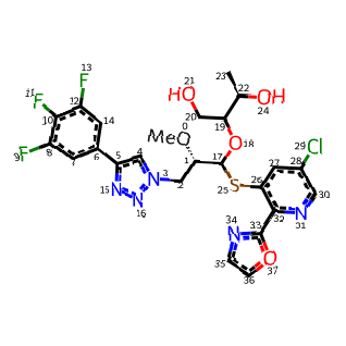 CO[C@@H](Cn1cc(-c2cc(F)c(F)c(F)c2)nn1)C(OC(CO)[C@@H](C)O)Sc1cc(Cl)cnc1-c1ncco1